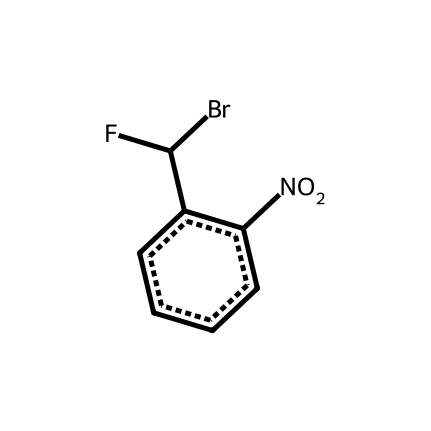 O=[N+]([O-])c1ccccc1C(F)Br